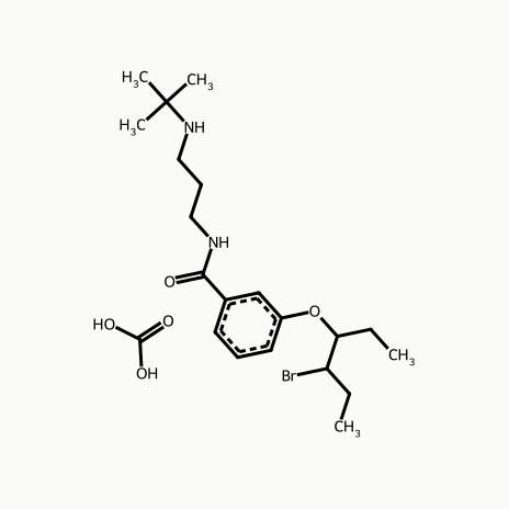 CCC(Br)C(CC)Oc1cccc(C(=O)NCCCNC(C)(C)C)c1.O=C(O)O